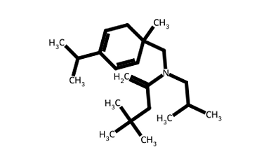 C=C(CC(C)(C)C)N(CC(C)C)CC1(C)C=CC(C(C)C)=CC1